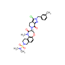 Cc1cccc(Cn2nc3c(c2Cl)CCN([C@H]2COc4ccc5c(c4N(C)C2=O)CCN(S(=O)(=O)N(C)C)C5)C3=O)c1